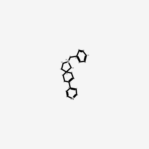 C1=C(c2ccncc2)CCC2(C1)CCN(Cc1ccccc1)C2